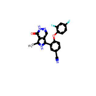 Cc1[nH]c(-c2cc(C#N)ccc2Oc2ccc(F)cc2F)c2cn[nH]c(=O)c12